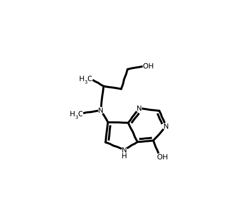 CC(CCO)N(C)c1c[nH]c2c(O)ncnc12